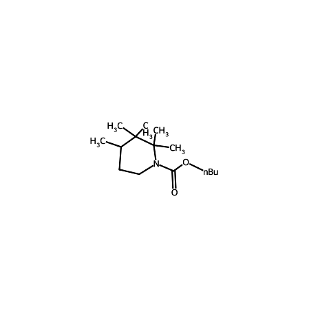 CCCCOC(=O)N1CCC(C)C(C)(C)C1(C)C